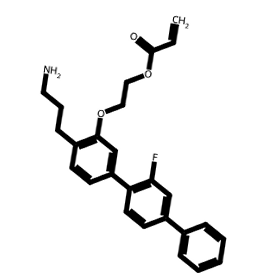 C=CC(=O)OCCOc1cc(-c2ccc(-c3ccccc3)cc2F)ccc1CCCN